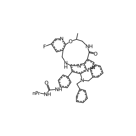 CCCNC(=O)Nc1ccc(-c2c3nc4c(cnn4c2N(Cc2ccccc2)Cc2ccccc2)C(=O)NCC(C)Oc2ncc(F)cc2CN3)cc1